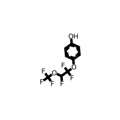 Oc1ccc(OC(F)(F)C(F)OC(F)(F)F)cc1